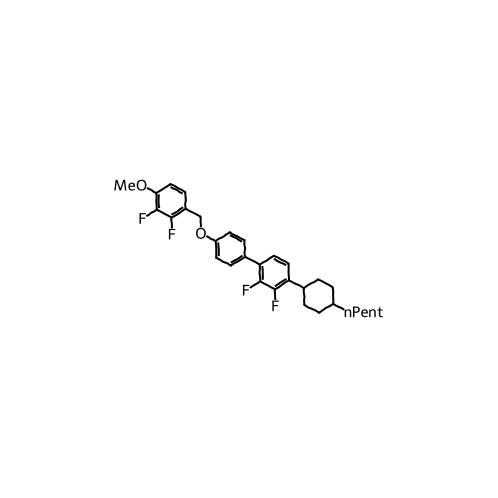 CCCCCC1CCC(c2ccc(-c3ccc(OCc4ccc(OC)c(F)c4F)cc3)c(F)c2F)CC1